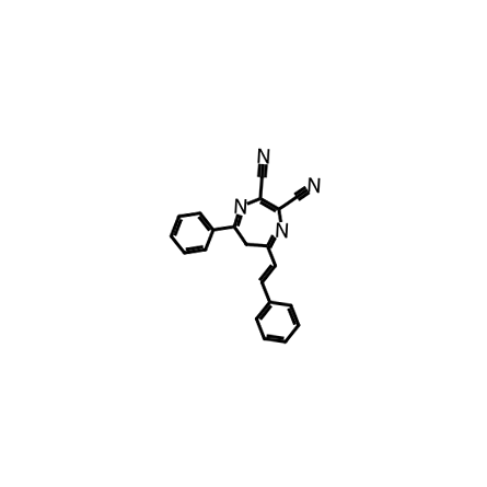 N#CC1=C(C#N)N=C(c2ccccc2)CC(C=Cc2ccccc2)=N1